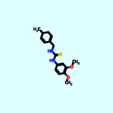 COc1ccc(NC(=S)NCC2=CCC(C)C=C2)cc1OC